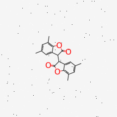 Cc1cc(C)c2c(c1)C(C1C(=O)Oc3c(C)cc(C)cc31)C(=O)O2